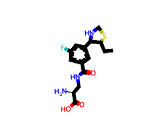 CCC1SCNC1c1cc(F)cc(C(=O)NC[C@@H](N)C(=O)O)c1